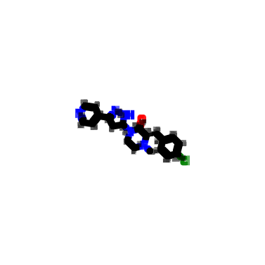 CN1CCN(C2CC(c3ccncc3)=NN2)C(=O)[C@@H]1Cc1ccc(Cl)cc1